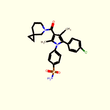 Cc1c(C(=O)N2CCCC3(CC3)C2)c(C)n(-c2ccc(S(N)(=O)=O)cc2)c1-c1ccc(Cl)cc1